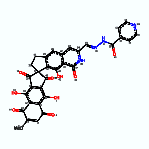 COC1=CC(=O)c2c(O)c3c(c(O)c2C1=O)C(=O)C1(CCc2cc4cc(C=NNC(=O)c5ccncc5)[nH]c(=O)c4c(O)c21)C3=O